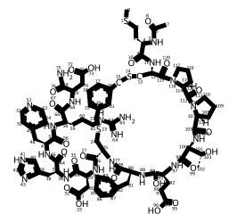 CSCC[C@H](NC(C)=O)C(=O)N[C@H]1CSCc2cccc(c2)CSC[C@@H](C(=O)N[C@@H](CC(=O)O)C(=O)N[C@@H](Cc2c[nH]cn2)C(=O)N[C@@H](Cc2ccncc2)C(=O)N[C@@H](CCCNC(=N)N)C(=O)NC(CC(=O)O)C(N)=O)NC(=O)[C@H](Cc2ccccc2)NC(O)[C@H](CCC(=O)O)NC(=O)[C@H]([C@@H](C)O)NC(=O)[C@@H]2CCCN2C(=O)[C@@H]2CCCN2C1=O